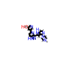 CN1CCN(c2nccc3[nH]c(-c4n[nH]c5ccc(-c6cncc(O)c6)nc45)cc23)CC1